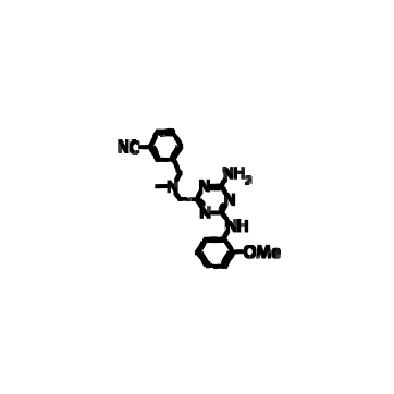 COc1ccccc1Nc1nc(N)nc(CN(C)Cc2cccc(C#N)c2)n1